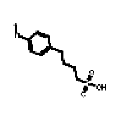 COc1ccc(CCCCS(=O)(=O)O)cc1